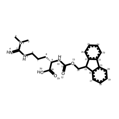 CN(C)C(=N)NCCC[C@H](NC(=O)OCC1c2ccccc2-c2ccccc21)C(=O)O